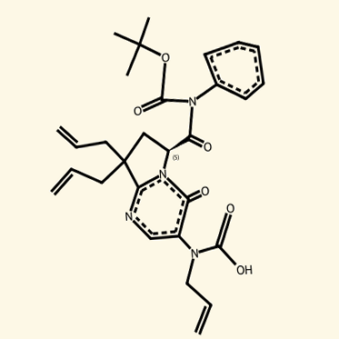 C=CCN(C(=O)O)c1cnc2n(c1=O)[C@H](C(=O)N(C(=O)OC(C)(C)C)c1ccccc1)CC2(CC=C)CC=C